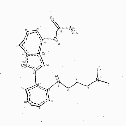 CN(C)CCCNc1ncccc1-c1nc2c(OC(N)=O)cccc2[nH]1